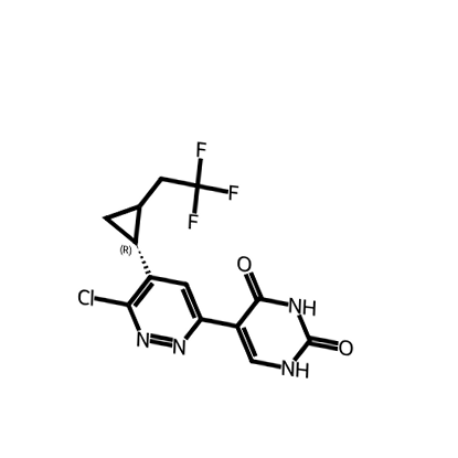 O=c1[nH]cc(-c2cc([C@@H]3CC3CC(F)(F)F)c(Cl)nn2)c(=O)[nH]1